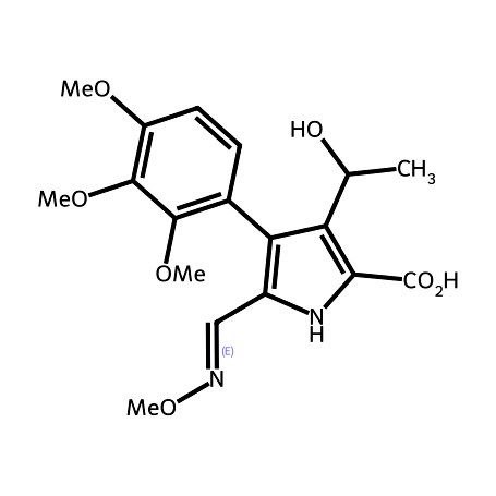 CO/N=C/c1[nH]c(C(=O)O)c(C(C)O)c1-c1ccc(OC)c(OC)c1OC